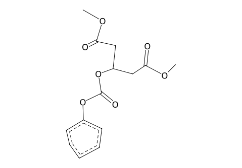 COC(=O)CC(CC(=O)OC)OC(=O)Oc1ccccc1